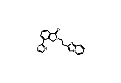 O=C1c2cccc(-c3ncco3)c2CN1CCc1cn2ccccc2n1